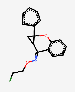 ClCCON=C1c2ccccc2OC2(c3ccccc3)CC12